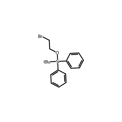 CC(C)(C)[Si](OCCBr)(c1ccccc1)c1ccccc1